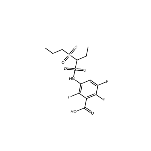 CCCS(=O)(=O)C(CC)S(=O)(=O)Nc1cc(F)c(F)c(C(=O)O)c1F